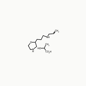 C=CCNCCCC1CNCCO1.CC(O)C(=O)O